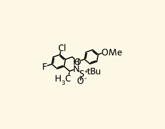 COc1ccc(OCc2c(Cl)cc(F)cc2[C@H](C)N[S+]([O-])C(C)(C)C)cc1